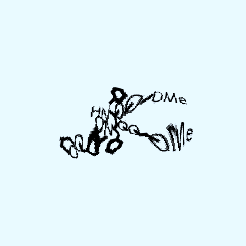 COCCOCOC1C(OCOCCOC)[C@@H](Cc2ccccc2)NC(=O)N(Cc2ccc(COC3CCCCO3)cc2)C1Cc1ccccc1